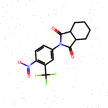 O=C1C2CCCCC2C(=O)N1c1ccc([N+](=O)[O-])c(C(F)(F)F)c1